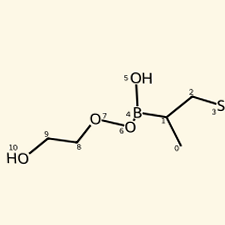 CC(CS)B(O)OOCCO